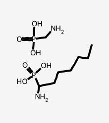 CCCCCCC(N)P(=O)(O)O.NCP(=O)(O)O